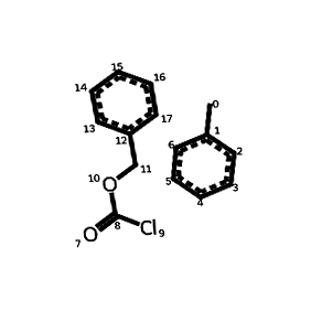 Cc1ccccc1.O=C(Cl)OCc1ccccc1